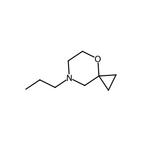 CCCN1CCOC2(CC2)C1